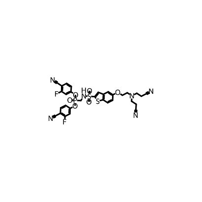 N#CCCN(CCC#N)CCOc1ccc2sc(S(=O)(=O)NCP(=O)(Oc3ccc(C#N)c(F)c3)Oc3ccc(C#N)c(F)c3)cc2c1